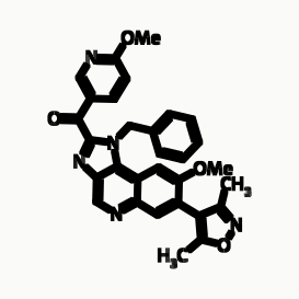 COc1ccc(C(=O)c2nc3cnc4cc(-c5c(C)noc5C)c(OC)cc4c3n2Cc2ccccc2)cn1